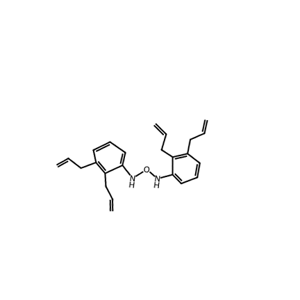 C=CCc1cccc(NONc2cccc(CC=C)c2CC=C)c1CC=C